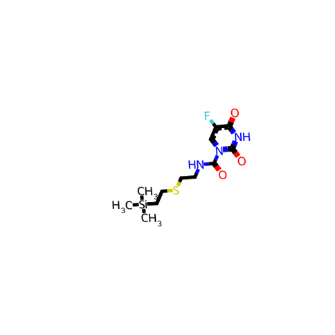 C[Si](C)(C)CCSCCNC(=O)n1cc(F)c(=O)[nH]c1=O